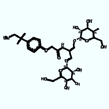 C[C@H]1C(CO)O[C@H](OCC(CO[C@H]2OC(CO)[C@H](O)C(O)[C@H]2O)NC(=O)COc2ccc(C(C)(C)CC(C)(C)C)cc2)[C@H](O)C1O